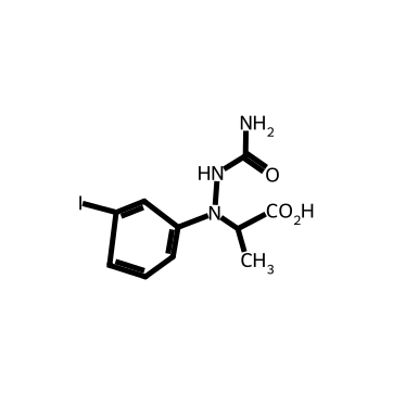 CC(C(=O)O)N(NC(N)=O)c1cccc(I)c1